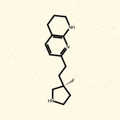 F[C@]1(CCc2ccc3c(n2)NCCC3)CCNC1